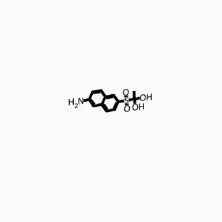 CC(O)(O)S(=O)(=O)c1ccc2cc(N)ccc2c1